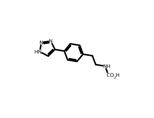 O=C(O)NCCc1ccc(-c2c[nH]nn2)cc1